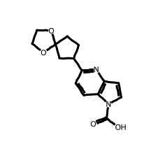 O=C(O)n1ccc2nc(C3CCC4(C3)OCCO4)ccc21